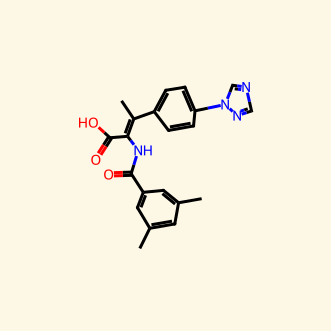 CC(=C(NC(=O)c1cc(C)cc(C)c1)C(=O)O)c1ccc(-n2cncn2)cc1